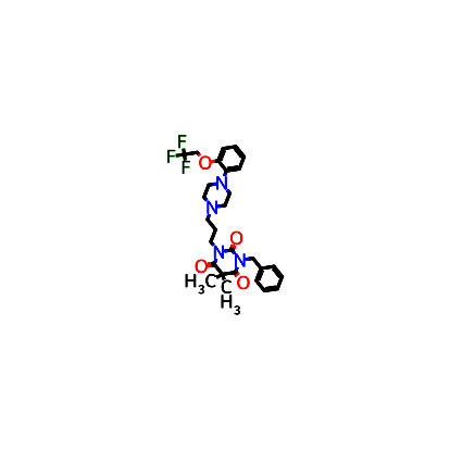 CC1(C)C(=O)N(CCCN2CCN(c3ccccc3OCC(F)(F)F)CC2)C(=O)N(Cc2ccccc2)C1=O